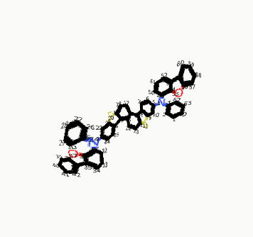 c1ccc(N(c2ccc3c(c2)sc2ccc4c(ccc5sc6cc(N(c7ccccc7)c7cccc8c7oc7ccccc78)ccc6c54)c23)c2cccc3c2oc2ccccc23)cc1